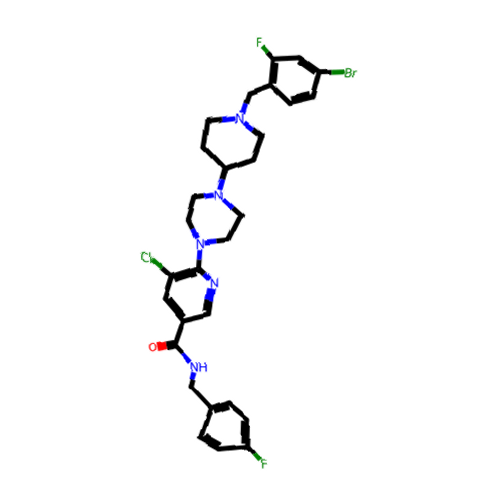 O=C(NCc1ccc(F)cc1)c1cnc(N2CCN(C3CCN(Cc4ccc(Br)cc4F)CC3)CC2)c(Cl)c1